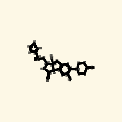 O=C1C=CN(c2cc3c(cc2F)N2C(=O)O[C@@H](CNc4ccon4)[C@@H]2C3)CC1